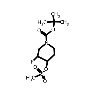 CC(C)(C)OC(=O)N1CCC(OS(C)(=O)=O)C(F)C1